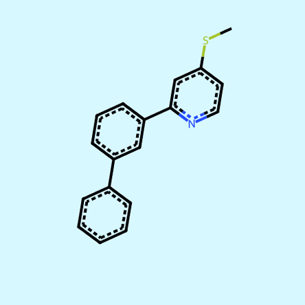 CSc1ccnc(-c2cccc(-c3ccccc3)c2)c1